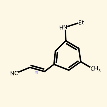 CCNc1cc(C)cc(/C=C/C#N)c1